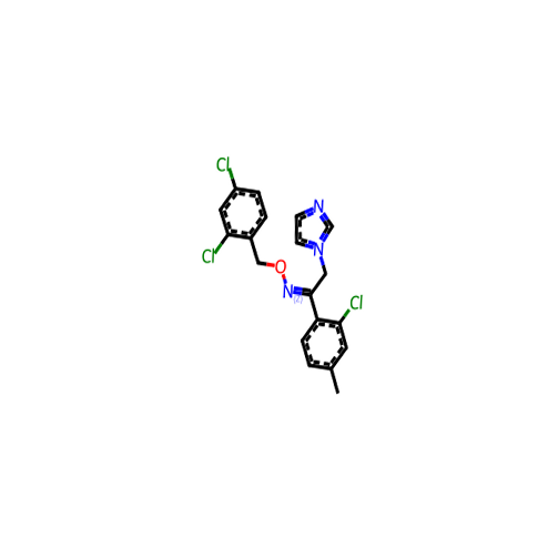 Cc1ccc(/C(Cn2ccnc2)=N/OCc2ccc(Cl)cc2Cl)c(Cl)c1